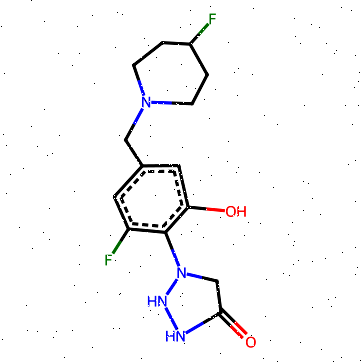 O=C1CN(c2c(O)cc(CN3CCC(F)CC3)cc2F)NN1